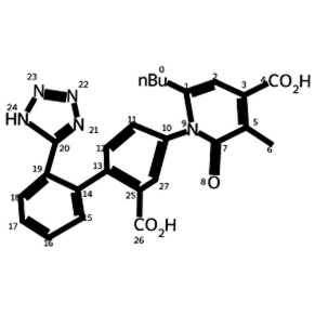 CCCCc1cc(C(=O)O)c(C)c(=O)n1-c1ccc(-c2ccccc2-c2nnn[nH]2)c(C(=O)O)c1